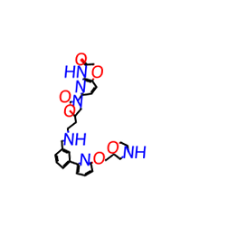 O=C1COc2ccc(N3CC(CCNCc4cccc(-c5cccc(OCC6CNCCO6)n5)c4)OC3=O)nc2N1